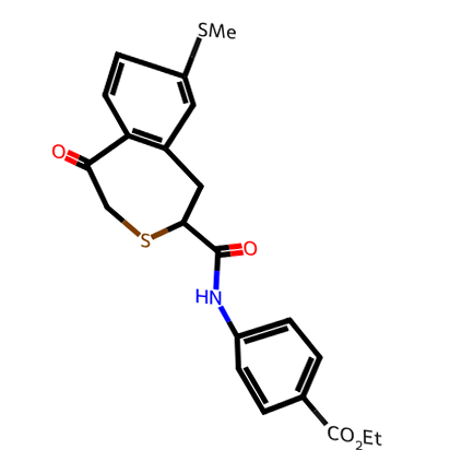 CCOC(=O)c1ccc(NC(=O)C2Cc3cc(SC)ccc3C(=O)CS2)cc1